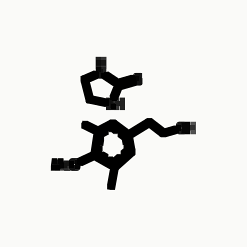 COc1c(C)cc(CCO)cc1C.S=C1NCCN1